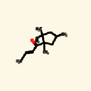 C/C=C/C(=O)C1(C)CC(C)CC1(C)C